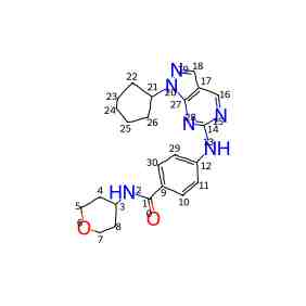 O=C(NC1CCOCC1)c1ccc(Nc2ncc3cnn(C4CCCCC4)c3n2)cc1